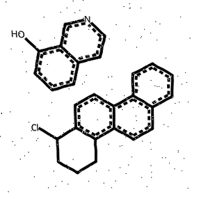 ClC1CCCc2c1ccc1c2ccc2ccccc21.Oc1cccc2ccncc12